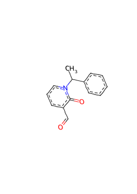 CC(c1ccccc1)n1cccc(C=O)c1=O